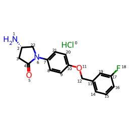 Cl.N[C@H]1CC(=O)N(c2ccc(OCc3cccc(F)c3)cc2)C1